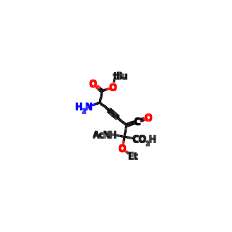 CCOC(NC(C)=O)(C(=O)O)C(=C=O)C#CC(N)C(=O)OC(C)(C)C